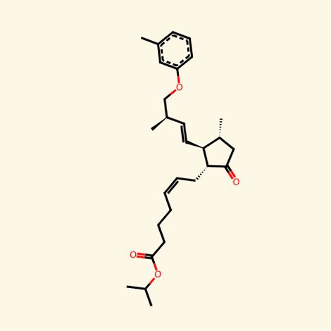 Cc1cccc(OC[C@H](C)/C=C/[C@H]2[C@H](C)CC(=O)[C@@H]2C/C=C\CCCC(=O)OC(C)C)c1